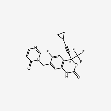 O=C1Nc2cc(Cn3cnccc3=O)c(F)cc2[C@](C#CC2CC2)(C(F)(F)F)O1